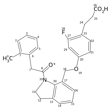 Cc1ccccc1CC(=O)N1CCc2cccc(COc3ccc(CCC(=O)O)c(F)c3)c21